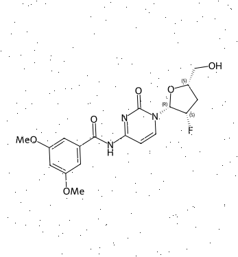 COc1cc(OC)cc(C(=O)Nc2ccn([C@@H]3O[C@H](CO)C[C@@H]3F)c(=O)n2)c1